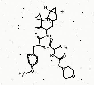 COc1ccc(CC(NC(=O)C(C)NC(=O)CN2CCOCC2)C(=O)NC(CC2C[C@@H]3C[C@@H]3C2)C(=O)C2(C)CO2)cc1